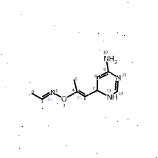 C/C=N/O/C(C)=C/C1C=C(N)N=CN1